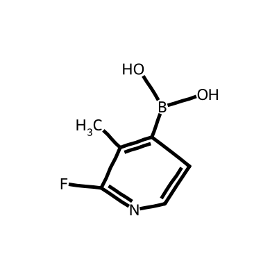 Cc1c(B(O)O)ccnc1F